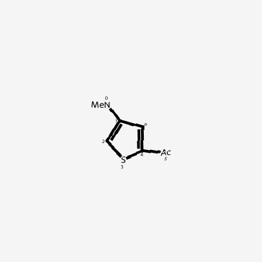 CNc1csc(C(C)=O)c1